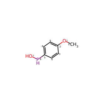 COc1ccc(PO)cc1